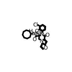 Cc1c(Cl)cccc1N1C(=O)c2cc3occc3n2CC1(C)C(=O)NC1CCCCCCC1